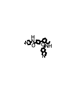 CCC(NC(=O)c1ccc2cnccc2c1)c1cccc(-c2ccc(C(=O)NC3CCN(C)CC3)cc2)c1